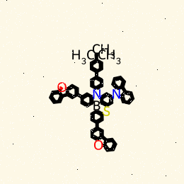 CC(C)(C)c1ccc(-c2ccc(N3c4cc(-c5ccc6oc7ccccc7c6c5)ccc4B4c5ccc(-c6ccc7oc8ccccc8c7c6)cc5Sc5cc(-n6c7ccccc7c7ccccc76)cc3c54)cc2)cc1